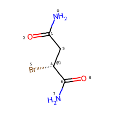 NC(=O)C[C@@H](Br)C(N)=O